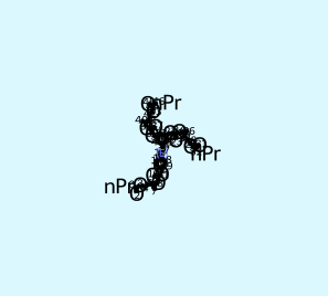 CCCC(=O)OCCC(C)OC(=O)Oc1ccc(/C=C/c2cc(OC(=O)OC(C)CCOC(=O)CCC)cc(OC(=O)OC(C)CCOC(=O)CCC)c2)cc1